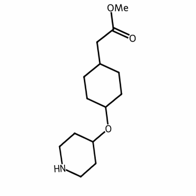 COC(=O)CC1CCC(OC2CCNCC2)CC1